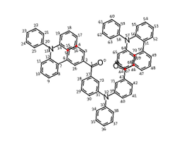 O=C(c1cccc(-c2ccccc2N(c2ccccc2)c2ccccc2)c1)c1cccc(N(c2ccccc2)c2cccc(C(=O)c3cccc(-c4ccccc4N(c4ccccc4)c4ccccc4)c3)c2)c1